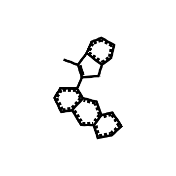 CC1=C(c2cccc3cc4ccccc4cc23)[CH]c2ccccc21